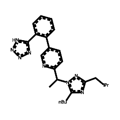 CCCCc1nc(CC(C)C)nn1C(C)c1ccc(-c2ccccc2-c2nnn[nH]2)cn1